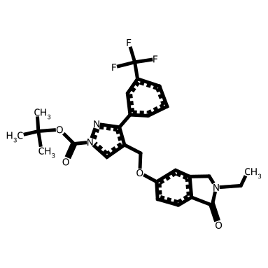 CCN1Cc2cc(OCc3cn(C(=O)OC(C)(C)C)nc3-c3cccc(C(F)(F)F)c3)ccc2C1=O